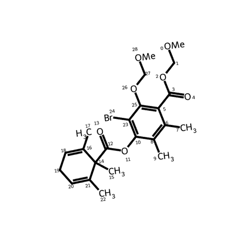 COCOC(=O)c1c(C)c(C)c(OC(=O)C2(C)C(C)=CCC=C2C)c(Br)c1OCOC